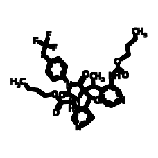 CCCCOC(=O)Nc1cnccc1C(C)C1(C(C)c2ccncc2NC(=O)OCCCC)NC(=O)N(c2ccc(SC(F)(F)F)cc2)C1=O